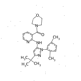 Cc1ccc(C)c(-n2nc(C(C)(C)C)cc2Nc2ncccc2C(=O)N2CCOCC2)c1